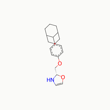 C1=CO[C@@H](COc2ccc(C3C4CCCC3CCC4)cc2)N1